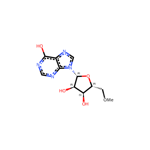 COC[C@H]1O[C@@H](n2cnc3c(O)ncnc32)[C@H](O)[C@@H]1O